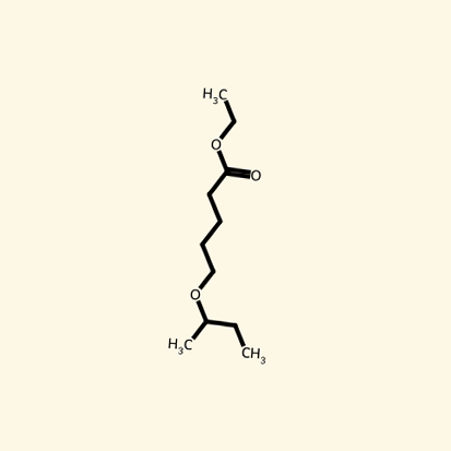 CCOC(=O)CCCCOC(C)CC